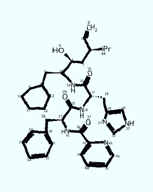 C=C[C@H](C[C@H](O)[C@H](CC1CCCCC1)NC(=O)[C@H](Cc1c[nH]cn1)NC(=O)[C@H](Cc1ccccc1)NC(=O)c1ccccn1)C(C)C